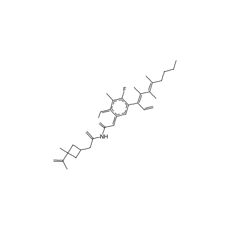 C=C/C(=C(C)\C(C)=C(/C)CCCC)c1cc(=C/C(=C)NC(=C)CC2CC(C)(C(=C)C)C2)/c(=C\C)c(C)c1F